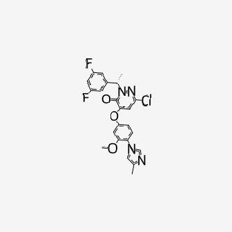 COc1cc(Oc2cc(Cl)nn([C@@H](C)c3cc(F)cc(F)c3)c2=O)ccc1-n1cnc(C)c1